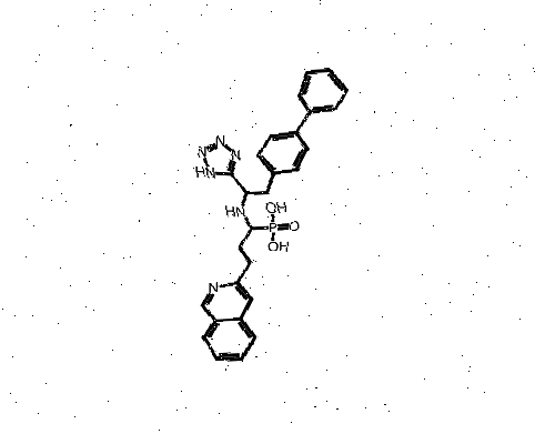 O=P(O)(O)C(CCc1cc2ccccc2cn1)NC(Cc1ccc(-c2ccccc2)cc1)c1nnn[nH]1